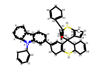 C1=CCC(n2c3ccccc3c3ccc(C4=CC5=C(CC4)SC4CC=CCC4C54C5=C(CCC=C5)SC5=C4C=CCC5C4=CCCC=C4)cc32)C=C1